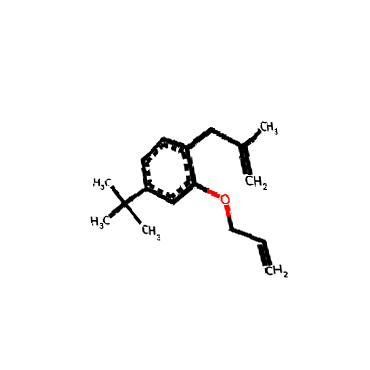 C=CCOc1cc(C(C)(C)C)ccc1CC(=C)C